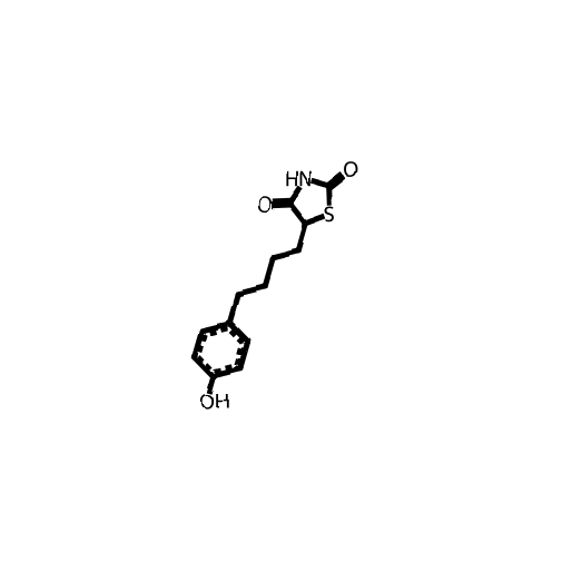 O=C1NC(=O)C(CCCCc2ccc(O)cc2)S1